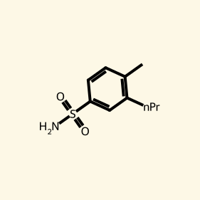 [CH2]CCc1cc(S(N)(=O)=O)ccc1C